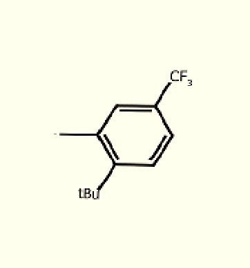 [CH2]c1cc(C(F)(F)F)ccc1C(C)(C)C